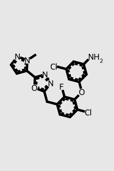 Cn1nccc1-c1nnc(Cc2ccc(Cl)c(Oc3cc(N)cc(Cl)c3)c2F)o1